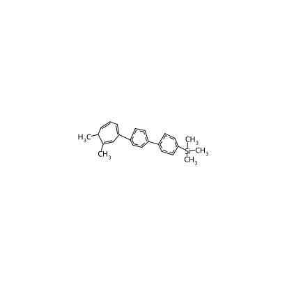 CC1=CC(c2ccc(-c3ccc([Si](C)(C)C)cc3)cc2)=CC=CC1C